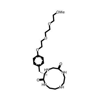 COCCOCCOCCOc1ccc(C[C@@H]2NCC(=O)NCCNCCNC2=O)cc1